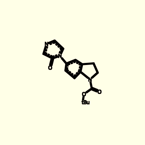 CC(C)(C)OC(=O)N1CCc2cc(-n3ccncc3=O)ccc21